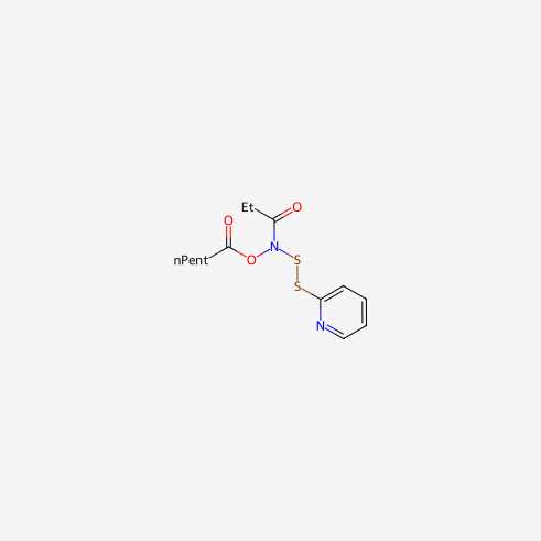 CCCCCC(=O)ON(SSc1ccccn1)C(=O)CC